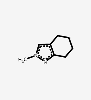 Cn1cc2c(n1)CC[C]C2